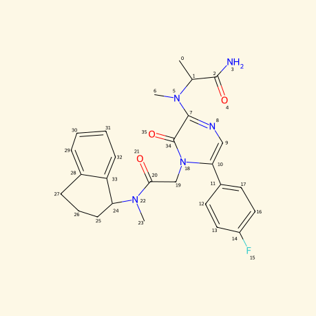 CC(C(N)=O)N(C)c1ncc(-c2ccc(F)cc2)n(CC(=O)N(C)C2CCCc3ccccc32)c1=O